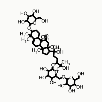 CC(C)(O)C(CCC(C)(O)C1CCC2(C)C3CC=C4C(CCC(OC5OC(CO)C(O)C(O)C5O)C4(C)C)C3(C)C(=O)CC12C)OC1OC(COC2OC(CO)C(O)C(O)C2O)C(O)C(O)C1O